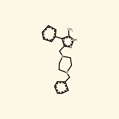 Cc1[nH]nc(CN2CCN(Cc3ccccc3)CC2)c1-c1ccccc1